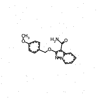 COc1ccc(COc2nn3ccccc3c2C(N)=O)cc1